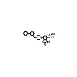 O=c1[nH]c2c(CS(=O)(=O)O)ccc(N3CCN(Cc4cccc(-c5ccccc5)c4)CC3)c2o1